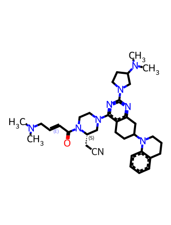 CN(C)C/C=C/C(=O)N1CCN(c2nc(N3CCC(N(C)C)C3)nc3c2CCC(N2CCCc4ccccc42)C3)C[C@@H]1CC#N